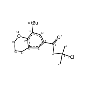 CC(C)(Cl)CC(=O)c1cc2c(c(C(C)(C)C)c1)OCCC2